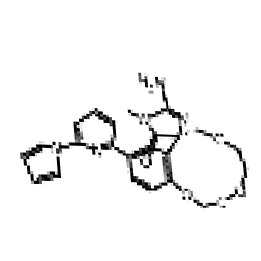 CN1C(=O)[C@@]2(CCCCOCCOc3ccc(-c4cccc(-n5cccc5)n4)cc32)N=C1N